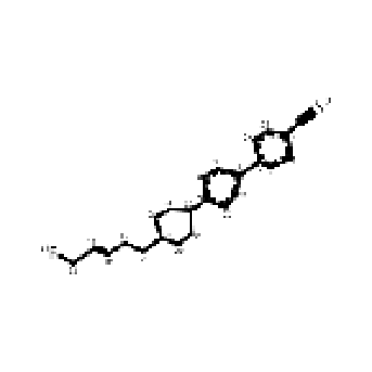 N#Cc1ccc(-c2ccc(C3CCC(CCC=CCF)CC3)cc2)cc1